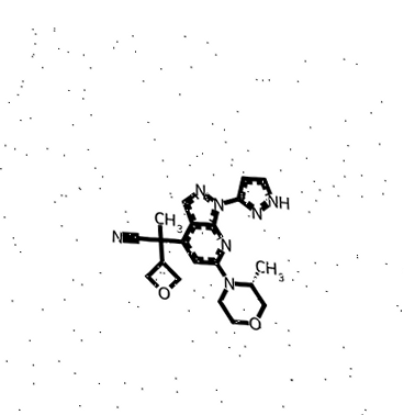 C[C@@H]1COCCN1c1cc(C(C)(C#N)C2COC2)c2cnn(-c3cc[nH]n3)c2n1